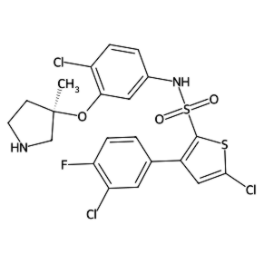 C[C@@]1(Oc2cc(NS(=O)(=O)c3sc(Cl)cc3-c3ccc(F)c(Cl)c3)ccc2Cl)CCNC1